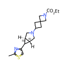 CCOC(=O)N1CC2(CC(N3C[C@@H]4C(c5csc(C)n5)[C@H]4C3)C2)C1